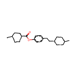 CC1CCC(CCc2ccc(OC(=O)C3CCC(C)CC3)cc2)CC1